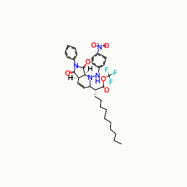 CCCCCCCCCC[C@@H](C(=O)OC(F)(F)F)C1C=C[C@H]2C(=O)N(c3ccccc3)C(=O)[C@H]2N1Nc1ccc([N+](=O)[O-])cc1